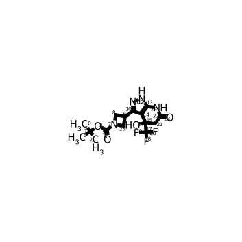 CC(C)(C)OC(=O)N1CC(c2n[nH]c3c2C(O)(C(F)(F)F)CC(=O)N3)C1